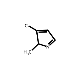 CC1N=CC=C1Cl